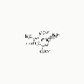 CC(=CC(=O)[O-])C(=O)[O-].CC(=CC(=O)[O-])C(=O)[O-].[Ba+2].[Ba+2]